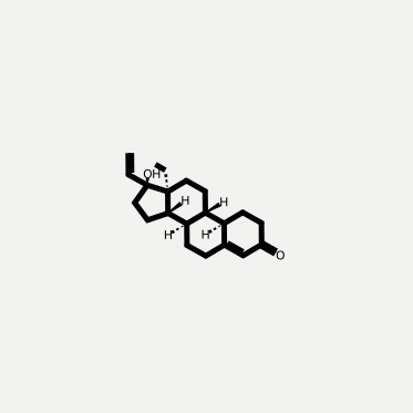 C=C[C@]1(O)CC[C@H]2[C@@H]3CCC4=CC(=O)CC[C@@H]4[C@H]3CC[C@@]21CC